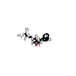 C=C(C)C(=O)OCCOC(=O)C(OC(=O)C12CC3CC(C1)OC(=O)C(C3)C2)(C(F)(F)F)C(F)(F)F